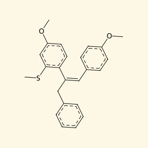 COc1ccc(C=C(Cc2ccccc2)c2ccc(OC)cc2SC)cc1